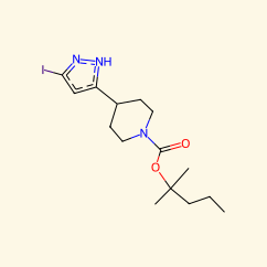 CCCC(C)(C)OC(=O)N1CCC(c2cc(I)n[nH]2)CC1